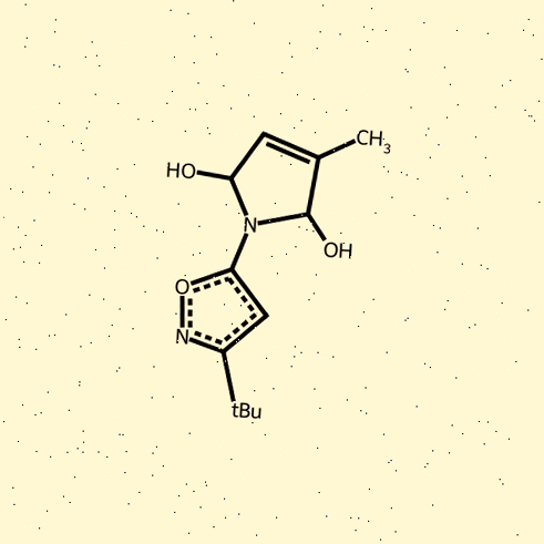 CC1=CC(O)N(c2cc(C(C)(C)C)no2)C1O